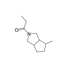 CCC(=O)N1CC2CCC(C)C2C1